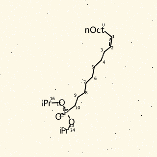 CCCCCCCC/C=C\CCCCCCCCP(=O)(OC(C)C)OC(C)C